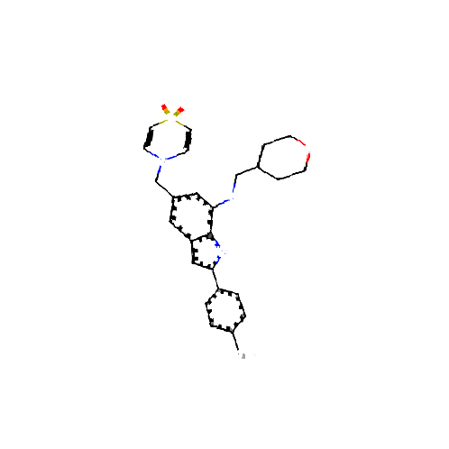 CC(=O)Nc1ccc(-c2cc3cc(CN4C=CS(=O)(=O)C=C4)cc(NCC4CCOCC4)c3[nH]2)cc1